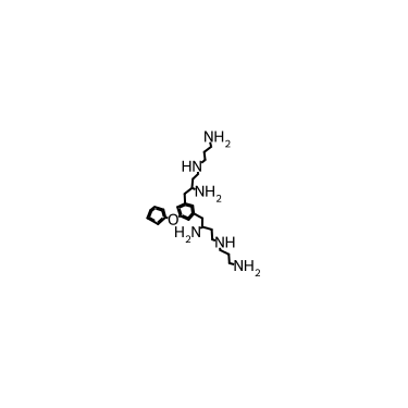 NCCCNCCC(N)Cc1cc(CC(N)CCNCCCN)cc(Oc2ccccc2)c1